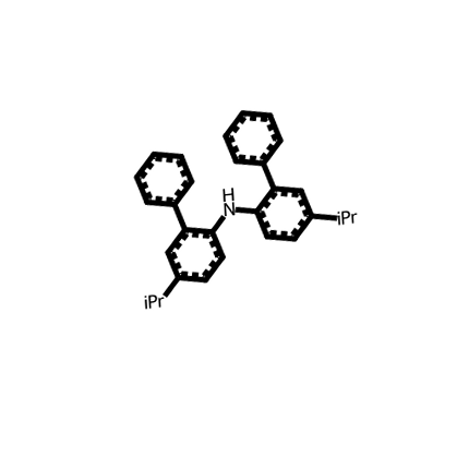 CC(C)c1ccc(Nc2ccc(C(C)C)cc2-c2ccccc2)c(-c2ccccc2)c1